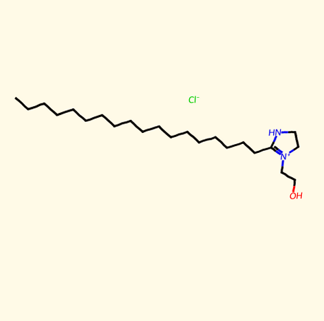 CCCCCCCCCCCCCCCCCCC1=[N+](CCO)CCN1.[Cl-]